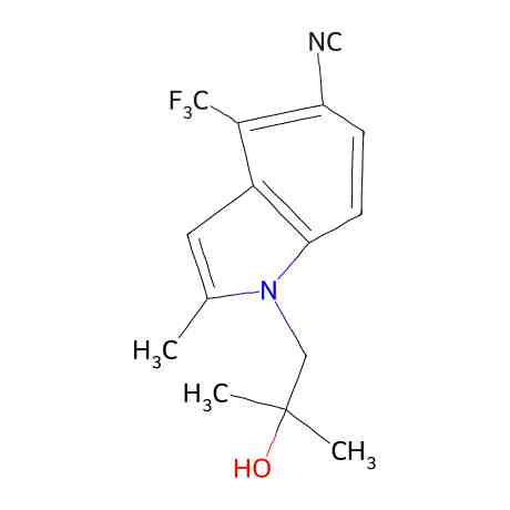 [C-]#[N+]c1ccc2c(cc(C)n2CC(C)(C)O)c1C(F)(F)F